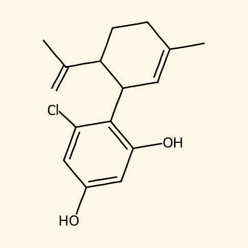 C=C(C)C1CCC(C)=CC1c1c(O)cc(O)cc1Cl